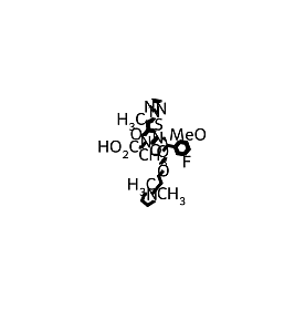 COc1ccc(F)cc1[C@H](Cn1c(=O)n(C(C)C(=O)O)c(=O)c2c(C)c(-n3nccn3)sc21)OCCOCCC(C)(C)N1CCCC1